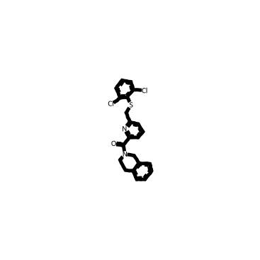 O=C(c1cccc(CSc2c(Cl)cccc2Cl)n1)N1CCc2ccccc2C1